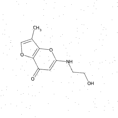 Cc1coc2c(=O)cc(NCCO)oc12